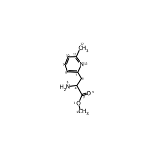 COC(=O)C(N)Cc1cccc(C)n1